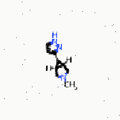 CN1C[C@@H]2[C@H](C1)[C@H]2c1cc[nH]n1